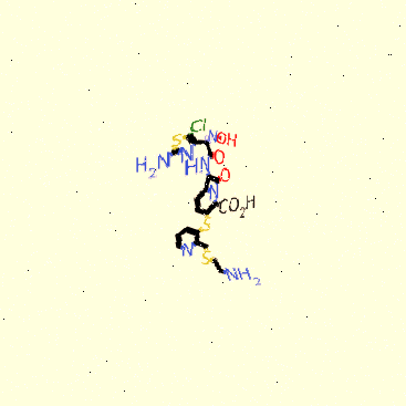 NCCSCc1ncccc1SC1=C(C(=O)O)N2C(=O)C(NC(=O)/C(=N\O)c3nc(N)sc3Cl)C2CC1